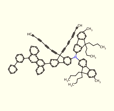 C#CC#CC#CC#CC1(C#CC#CC#CC#C)c2cc(-c3cc4c5ccccc5c(-c5cccc(-c6ccccc6)c5)cc4c4ccccc34)ccc2-c2ccc(N(c3ccc4c(c3)C(CCCC)(CCCC)c3cc(C)ccc3-4)c3ccc4c(c3)C(CCCC)(CCCC)c3cc(C)ccc3-4)cc21